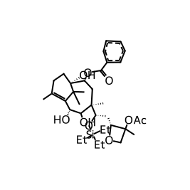 CC[Si](CC)(CC)O[C@@H](C[C@H]1OCC1(C)OC(C)=O)[C@]1(C)C[C@@H](OC(=O)c2ccccc2)[C@]2(O)CCC(C)=C([C@@H](O)C1O)C2(C)C